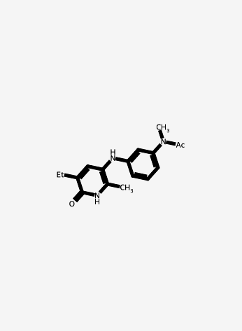 CCc1cc(Nc2cccc(N(C)C(C)=O)c2)c(C)[nH]c1=O